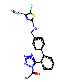 CCCC(=O)n1nnnc1-c1ccccc1-c1ccc(CNc2nc(C(=O)O)c(Cl)s2)cc1